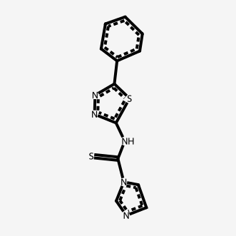 S=C(Nc1nnc(-c2ccccc2)s1)n1ccnc1